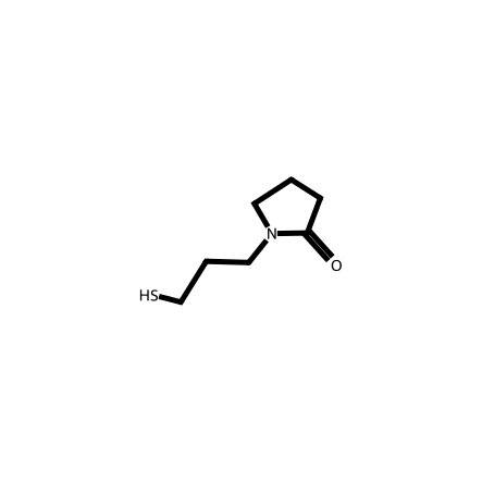 O=C1CCCN1CCCS